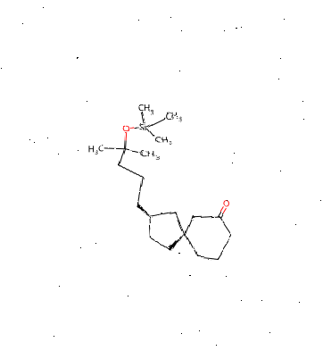 CC(C)(CCC[C@@H]1CC[C@@]2(CCCC(=O)C2)C1)O[Si](C)(C)C